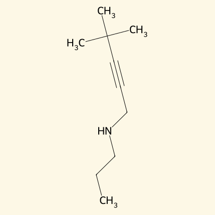 CCCNCC#CC(C)(C)C